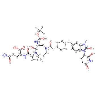 Cn1c(=O)n(C2CCC(=O)NC2=O)c2ccc(C[C@H]3CC[C@@H](CC(=O)N4CC[C@H]5CC[C@@H](C(=O)N[C@@H](CCC(N)=O)C(=O)O)N5C(=O)[C@@H](NC(=O)OC(C)(C)C)C4)CC3)cc21